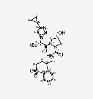 CC(C)(C)[C@@H](C(=O)N1C[C@H](O)C[C@H]1C(=O)NCC1CCS(=O)(=O)c2ccccc21)n1cc(C2CC2)nn1